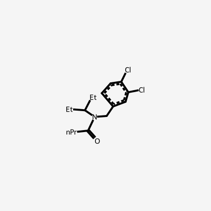 CCCC(=O)N(Cc1ccc(Cl)c(Cl)c1)C(CC)CC